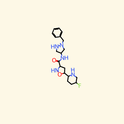 O=C(NC1CNN(Cc2ccccc2)C1)C1CC(C2CCC(F)CN2)ON1